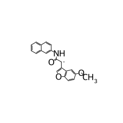 COc1ccc2occ([CH]C(=O)Nc3ccc4ccccc4c3)c2c1